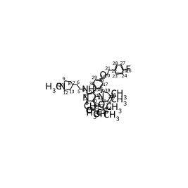 Cc1nc(NCCC2CCN(C)CC2)c(-c2ccc(OCCc3ccc(F)cc3)cc2)c(N2CCC(C)(C)CC2)c1[C@H](OC(C)(C)C)C(=O)O